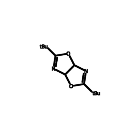 CC(C)(C)C1=NC2OC(C(C)(C)C)=NC2O1